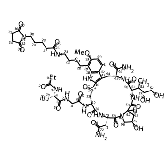 CCC(=O)N[C@H](C(=O)NCC(=O)N[C@H]1C[S+]([O-])c2[nH]c3c(CSCCNC(=O)CCCCN4C(=O)CCC4=O)c(OC)ccc3c2C[C@@H](C(N)=O)NC(=O)[C@H]([C@@H](C)[C@@H](O)CO)NC(=O)[C@@H]2C[C@@H](O)CN2C(=O)[C@H](CC(N)=O)NC1=O)[C@@H](C)CC